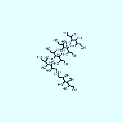 OCC(O)C(O)C(O)C(O)CO.OCC(O)C(O)C(O)C(O)CO.OCC(O)C(O)C(O)C(O)CO.OCC(O)C(O)C(O)C(O)CO.OCC(O)C(O)C(O)C(O)CO